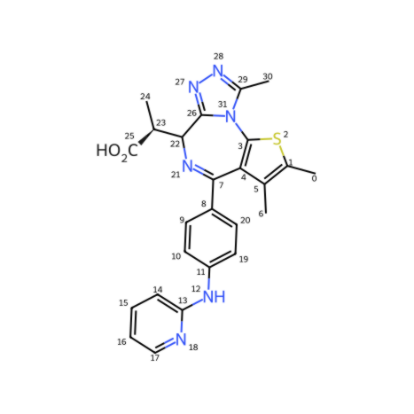 Cc1sc2c(c1C)C(c1ccc(Nc3ccccn3)cc1)=NC([C@H](C)C(=O)O)c1nnc(C)n1-2